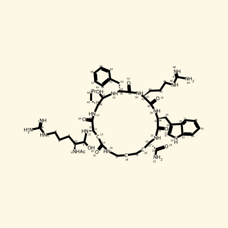 CC(=O)N[C@@H](CCCNC(=N)N)C(O)N[C@H]1CC(=O)NCCCC[C@@H](C(N)=O)NC(=O)[C@H](Cc2c[nH]c3ccccc23)NC(=O)[C@H](CCCNC(=N)N)NC(=O)[C@@H](Cc2ccccc2)NC(O)[C@@H](CC(C)C)NC1=O